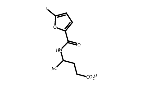 CC(=O)C(CCC(=O)O)NC(=O)c1ccc(I)o1